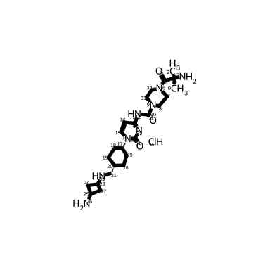 CC(C)(N)C(=O)N1CCN(C(=O)Nc2ccn([C@H]3CC[C@@H](CNC4CC(N)C4)CC3)c(=O)n2)CC1.Cl